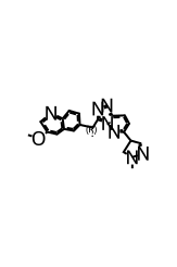 COc1cnc2ccc([C@@H](C)c3nnc4ccc(C5C=NN(C)C5)nn34)cc2c1